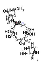 NC1=C2NCN(c3oc4c(c3F)O[PH](O)(S)O/C=C3/OC(n5cnc6c(=O)[nH]c(N)nc65)=C(O[PH](O)(S)OC4)[C@@H]3O)C2NCN1